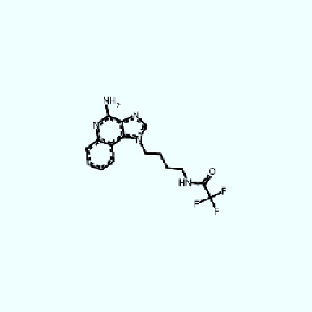 Nc1nc2ccccc2c2c1ncn2CCCCNC(=O)C(F)(F)F